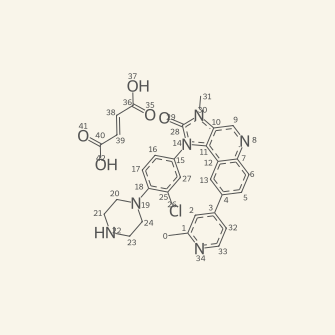 Cc1cc(-c2ccc3ncc4c(c3c2)n(-c2ccc(N3CCNCC3)c(Cl)c2)c(=O)n4C)ccn1.O=C(O)C=CC(=O)O